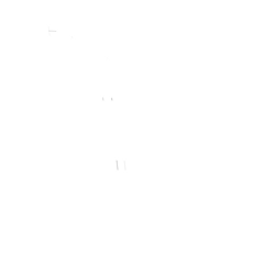 CCOC[SiH2]c1ccccc1